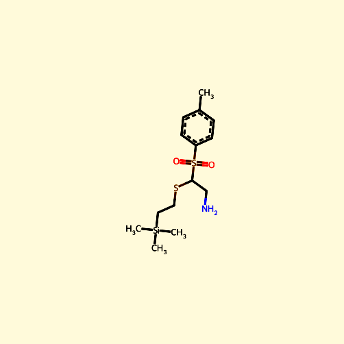 Cc1ccc(S(=O)(=O)C(CN)SCC[Si](C)(C)C)cc1